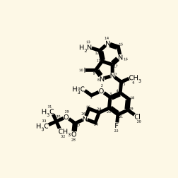 CCOc1c(C(C)n2nc(I)c3c(N)ncnc32)cc(Cl)c(F)c1C1CN(C(=O)OC(C)(C)C)C1